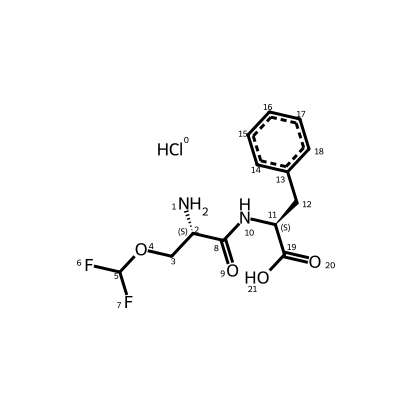 Cl.N[C@@H](COC(F)F)C(=O)N[C@@H](Cc1ccccc1)C(=O)O